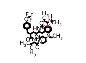 CCNC1CCN(C(=O)[C@@H](NC(=O)C(Cc2ccc(OC(F)(F)F)cc2)CC(O)C(Cc2ccccc2)NC(=O)O[C@@H](C)C(=O)NC)C(C)C)CC1